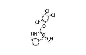 O=C(COc1cc(Cl)c(Cl)cc1Cl)Nc1ccccc1C(=O)O